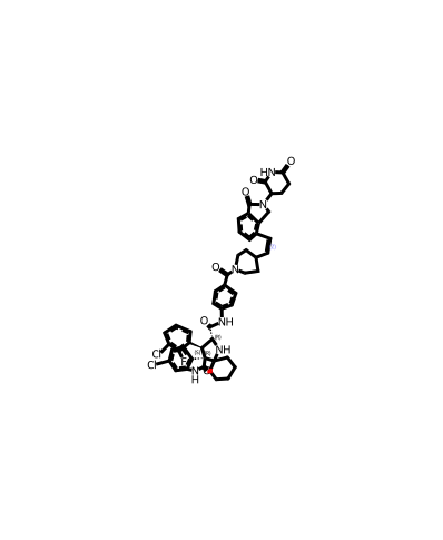 O=C1CCC(N2Cc3c(/C=C\C4CCN(C(=O)c5ccc(NC(=O)[C@@H]6NC7(CCCCC7)[C@@]7(C(=O)Nc8cc(Cl)ccc87)[C@H]6c6cccc(Cl)c6F)cc5)CC4)cccc3C2=O)C(=O)N1